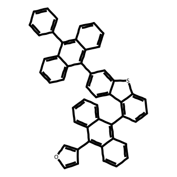 c1ccc(-c2c3ccccc3c(-c3ccc4c(c3)sc3cccc(-c5c6ccccc6c(-c6ccoc6)c6ccccc56)c34)c3ccccc23)cc1